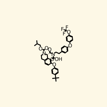 CC(C)COC(=O)N1CCc2ccc(Oc3ccc(C(C)(C)C)cc3)cc2[C@H]1C(=O)N(CCc1ccc(Oc2ccc(OC(F)(F)F)cc2)cc1)C(=O)O